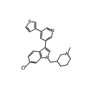 CN1CCCC(Cn2cc(-c3cncc(-c4ccsc4)c3)c3ccc(Cl)cc32)C1